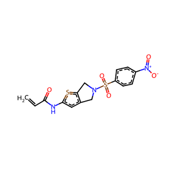 C=CC(=O)Nc1cc2c(s1)CN(S(=O)(=O)c1ccc([N+](=O)[O-])cc1)C2